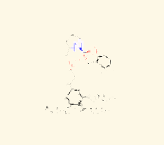 COc1cc(CCCOCC2CCCN2C(=O)OCc2ccccc2)cc(OC)c1OC